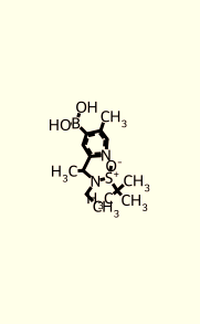 CCN(C(C)c1cc(B(O)O)c(C)cn1)[S+]([O-])C(C)(C)C